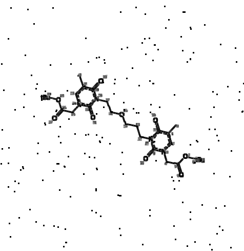 Cc1cn(CC(=O)OC(C)(C)C)c(=O)n(CCCOCCn2c(=O)c(C)cn(CC(=O)OC(C)(C)C)c2=O)c1=O